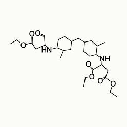 CCOC(=O)CC(C=O)NC1CCC(CC2CCC(NC(CC(=O)OCC)C(=O)OCC)C(C)C2)CC1C